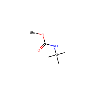 CC(C)(C)OC(=O)N[Si](C)(C)C